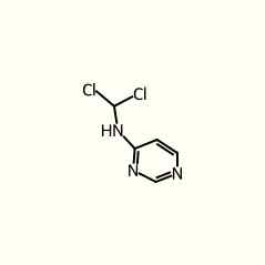 ClC(Cl)Nc1ccncn1